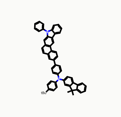 CC(C)(C)c1ccc(N(c2ccc(-c3ccc4c(ccc5cc6c(cc54)c4ccccc4n6-c4ccccc4)c3)cc2)c2ccc3c(c2)C(C)(C)c2ccccc2-3)cc1